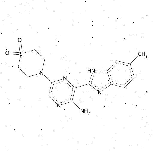 Cc1ccc2nc(-c3nc(N4CCS(=O)(=O)CC4)cnc3N)[nH]c2c1